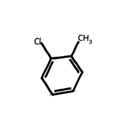 Cc1c[c][c]cc1Cl